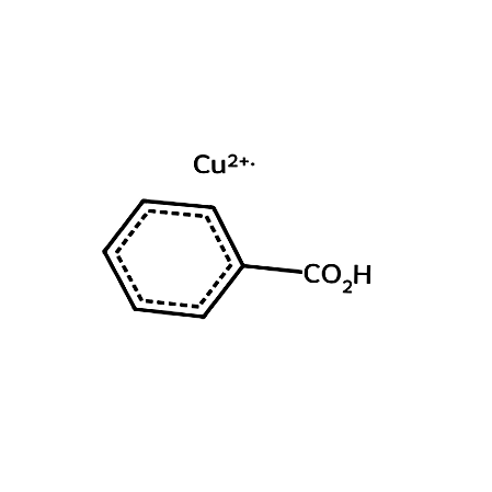 O=C(O)c1ccccc1.[Cu+2]